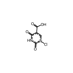 O=C(O)c1cn(Cl)c(=O)[nH]c1=O